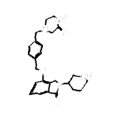 O=C1CN(Cc2ccc(COc3cccc4c3CN(C3CCCNC3)C4=O)cc2)CCN1